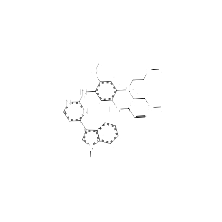 C=CC(=O)Nc1cc(Nc2nccc(-c3cn(C)c4ccccc34)n2)c(OC)cc1N(CCOC)CCOC